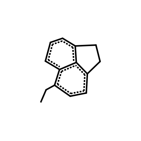 CCc1ccc2c3c(cccc13)CC2